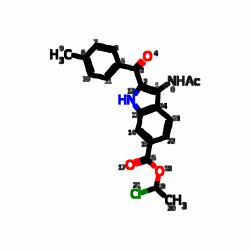 CC(=O)Nc1c(C(=O)c2ccc(C)cc2)[nH]c2cc(C(=O)OC(C)Cl)ccc12